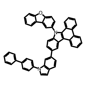 c1ccc(-c2ccc(-n3ccc4ccc(-c5ccc6c(c5)c5c7ccccc7c7ccccc7c5n6-c5ccc6oc7ccccc7c6c5)cc43)cc2)cc1